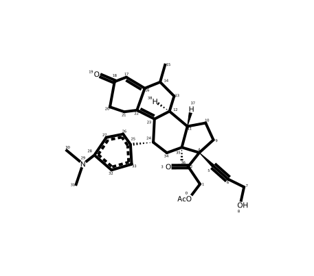 CC(=O)OCC(=O)[C@@]1(C#CCO)CC[C@H]2[C@@H]3CC(C)C4=CC(=O)CCC4=C3[C@@H](c3ccc(N(C)C)cc3)C[C@@]21C